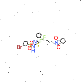 O=C1c2ccccc2C(=O)N1CCCCCC(F)(F)c1ccccc1-c1csc(NS(=O)(=O)c2cccc(Br)c2)n1